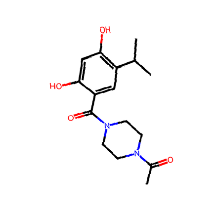 CC(=O)N1CCN(C(=O)c2cc(C(C)C)c(O)cc2O)CC1